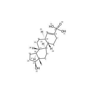 C[C@]12CC[C@@H]3[C@H]4CCC(P(=O)(O)O)=C[C@@H]4CC[C@H]3[C@@H]1CC[C@@H]2O